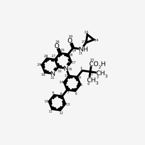 CC(C)(Cc1ccc(-c2ccccc2)cc1-n1cc(C(=O)NC2CC2)c(=O)c2cccnc21)C(=O)O